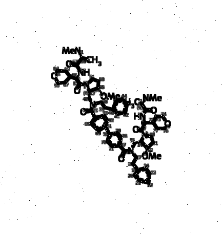 CN[C@@H](C)C(=O)N[C@H](C(=O)N1CC[C@H](OC)[C@H]1CN(CCc1ccccc1)C(=O)c1ccc(-c2ccc(C(=O)N(CCc3ccccc3)C[C@@H]3[C@@H](OC)CCN3C(=O)[C@@H](NC(=O)[C@H](C)NC)C3CCOCC3)cc2)cc1)C1CCOCC1